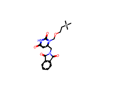 C[Si](C)(C)CCOCn1c(CN2C(=O)c3ccccc3C2=O)cc(=O)[nH]c1=O